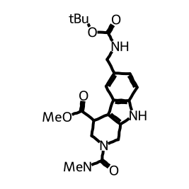 CNC(=O)N1Cc2[nH]c3ccc(CNC(=O)OC(C)(C)C)cc3c2C(C(=O)OC)C1